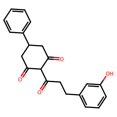 O=C(CCc1cccc(O)c1)C1C(=O)CC(c2ccccc2)CC1=O